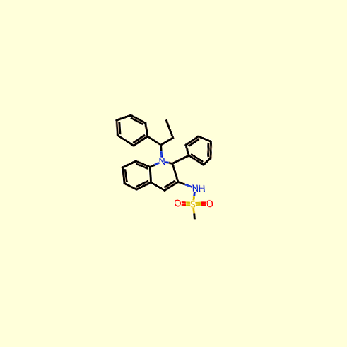 CCC(c1ccccc1)N1c2ccccc2C=C(NS(C)(=O)=O)C1c1ccccc1